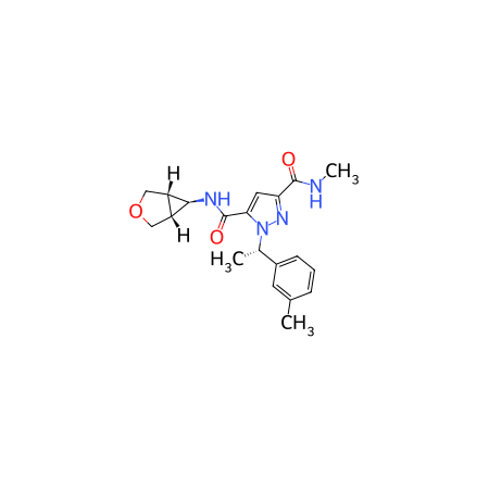 CNC(=O)c1cc(C(=O)N[C@H]2[C@@H]3COC[C@@H]32)n([C@@H](C)c2cccc(C)c2)n1